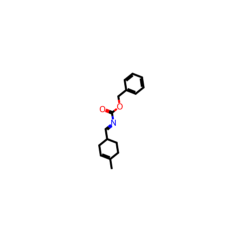 CC1=CCC(/C=N/C(=O)OCc2ccccc2)CC1